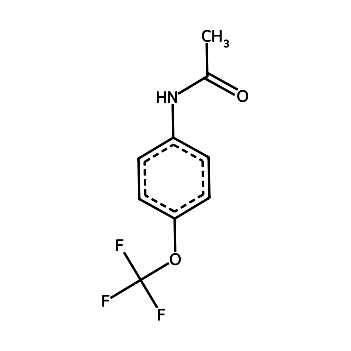 CC(=O)Nc1ccc(OC(F)(F)F)cc1